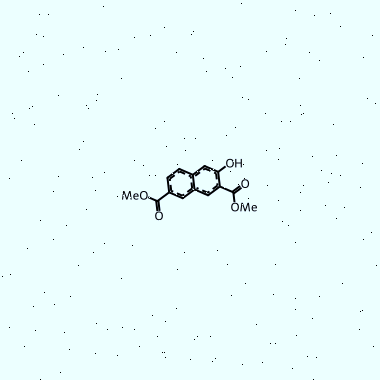 COC(=O)c1ccc2cc(O)c(C(=O)OC)cc2c1